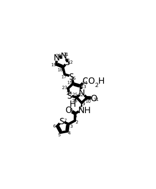 O=C(Cc1cccs1)N[C@@H]1C(=O)N2C(C(=O)O)=C(SCc3cnns3)CS[C@@H]12